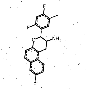 N[C@H]1Cc2c(ccc3cc(Br)ccc23)O[C@@H]1c1cc(F)c(F)cc1F